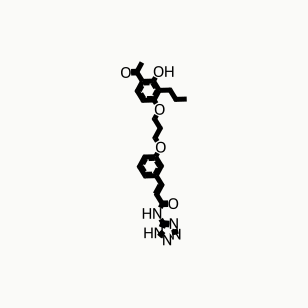 CCCc1c(OCCCOc2cccc(C=CC(=O)Nc3nnn[nH]3)c2)ccc(C(C)=O)c1O